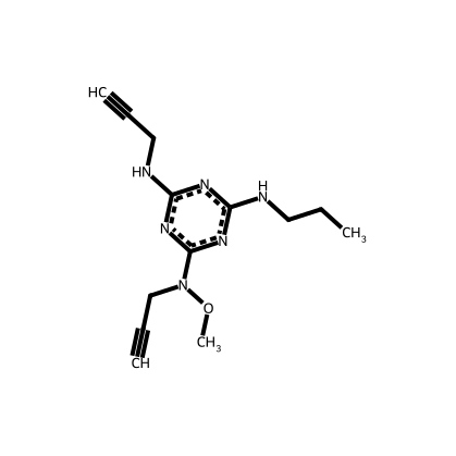 C#CCNc1nc(NCCC)nc(N(CC#C)OC)n1